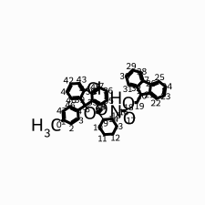 Cc1ccc(C(OC(=O)[C@@H]2CCCC[C@H]2NC(=O)OCC2c3ccccc3-c3ccccc32)(c2ccccc2)c2ccccc2Cl)cc1